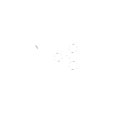 C#CCCOc1ccc(N(c2ccccc2)c2ccccc2)cc1